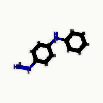 N=Nc1ccc(Nc2ccccc2)cc1